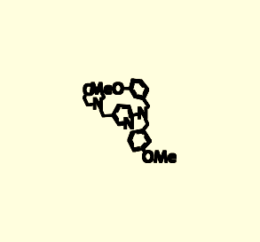 COc1cccc(CN(Cc2cccc(OC)c2)c2ccc(CN3CCOCC3)cn2)c1